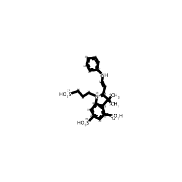 CC1(C)C(/C=C/Nc2ccccc2)=[N+](CCCS(=O)(=O)O)c2cc(S(=O)(=O)O)cc(S(=O)(=O)O)c21